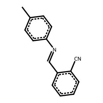 Cc1ccc(N=Cc2ccccc2C#N)cc1